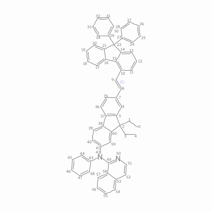 CCC1(CC)c2cc(/C=C/c3cccc4c3-c3ccccc3C4(c3ccccc3)c3ccccc3)ccc2-c2ccc(N(c3ccccc3)c3nccc4ccccc34)cc21